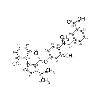 Cc1cc(OCc2c(C(C)C)cnn2-c2c(Cl)cccc2Cl)ccc1N(C)Cc1cccc(C(=O)O)c1